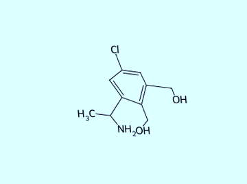 CC(N)c1cc(Cl)cc(CO)c1CO